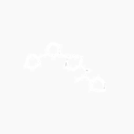 O=C(Nc1ccc(-c2cccc(-c3ccccc3)c2)cc1)c1ccccc1